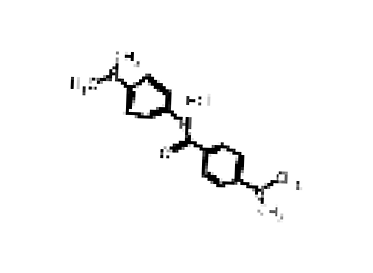 CN(C)c1ccc(NC(=O)c2ccc(N(C)C)cc2)cc1.Cl